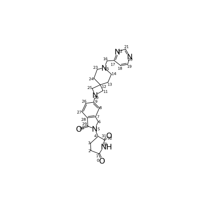 O=C1CCC(N2Cc3cc(N4CC5(CCN(Cc6ccncn6)CC5)C4)ccc3C2=O)C(=O)N1